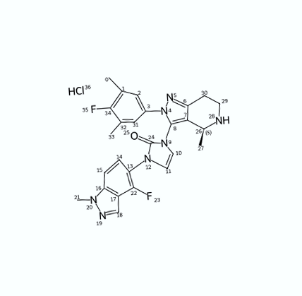 Cc1cc(-n2nc3c(c2-n2ccn(-c4ccc5c(cnn5C)c4F)c2=O)[C@H](C)NCC3)cc(C)c1F.Cl